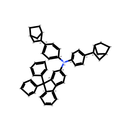 c1ccc(C2(c3ccccc3)c3ccccc3-c3ccc(N(c4ccc(C5CC6CCC5C6)cc4)c4ccc(C5CC6CCC5C6)cc4)cc32)cc1